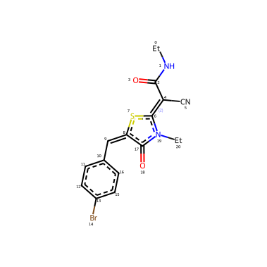 CCNC(=O)/C(C#N)=c1\sc(=Cc2ccc(Br)cc2)c(=O)n1CC